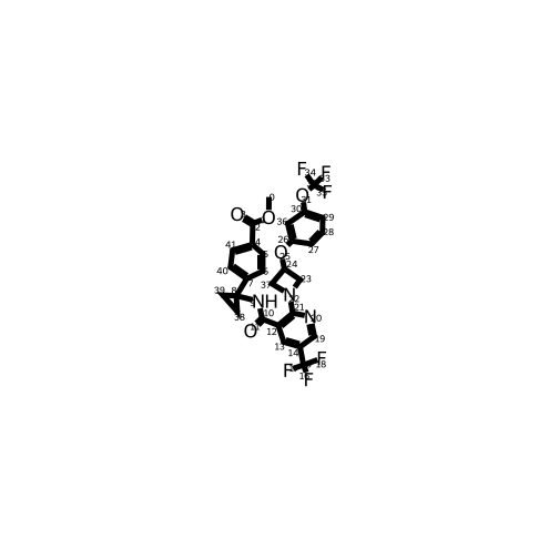 COC(=O)c1ccc(C2(NC(=O)c3cc(C(F)(F)F)cnc3N3CC(Oc4cccc(OC(F)(F)F)c4)C3)CC2)cc1